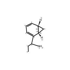 CCC(N)C1=CC=C[C@@H]2C[C@H]12